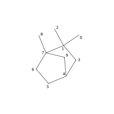 CC1(C)CC2CCC1(C)C2